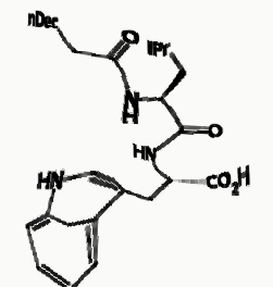 CCCCCCCCCCCC(=O)N[C@@H](CC(C)C)C(=O)N[C@@H](Cc1c[nH]c2ccccc12)C(=O)O